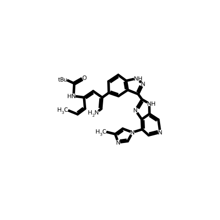 C\C=C/C(=C\C(=C/N)c1ccc2[nH]nc(-c3nc4c(-n5cnc(C)c5)cncc4[nH]3)c2c1)NC(=O)C(C)(C)C